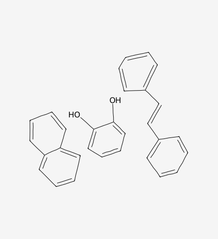 C(=Cc1ccccc1)c1ccccc1.Oc1ccccc1O.c1ccc2ccccc2c1